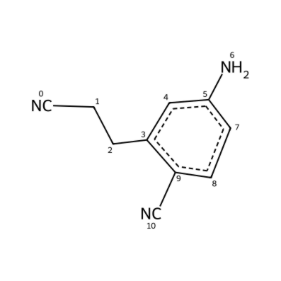 N#CCCc1cc(N)ccc1C#N